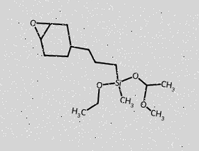 CCO[Si](C)(CCCC1CCC2OC2C1)OC(C)OC